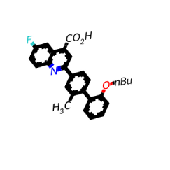 CCCCOc1ccccc1-c1ccc(-c2cc(C(=O)O)c3cc(F)ccc3n2)cc1C